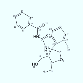 CCC1OCC(NC(=S)NC(=O)c2ccccc2)(c2ccccc2F)C1CO